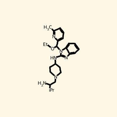 CCOC(c1cccc(C)n1)n1c(NC2CCN(CC(N)C(C)C)CC2)nc2ccccc21